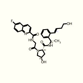 C[C@H](NC(=O)[C@@H]1C[C@@H](O)CN1C(=O)CNC(=O)c1ccc2cc(F)ccc2n1)c1ccccc1/C=C/CCO